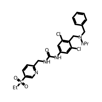 CCCN(Cc1ccccc1)Cc1c(Cl)cc(NC(=O)NCc2ccc(S(=O)(=O)CC)cn2)cc1Cl